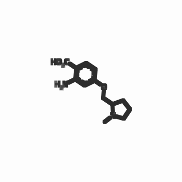 CN1CCCC1COc1ccc(C(=O)O)c(N)c1